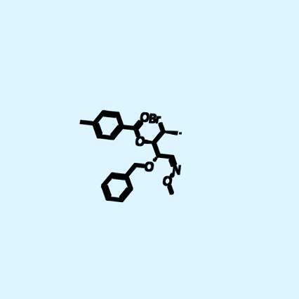 [CH2][C@H](Br)[C@H](OC(=O)c1ccc(C)cc1)[C@H](/C=N\OC)OCc1ccccc1